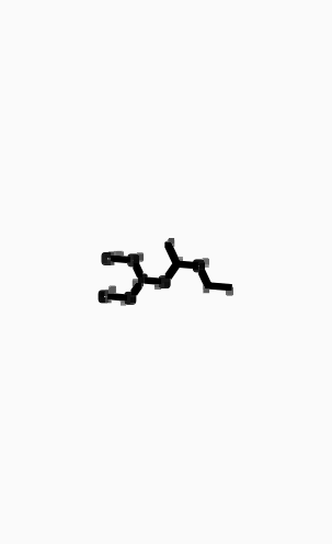 CCOC(C)OP(OCl)OCl